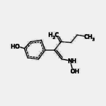 C=C(CCC)/C(=C\NO)c1ccc(O)cc1